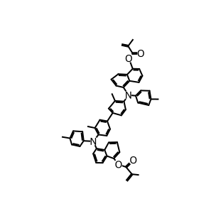 C=C(C)C(=O)Oc1cccc2c(N(c3ccc(C)cc3)c3ccc(-c4ccc(N(c5ccc(C)cc5)c5cccc6c(OC(=O)C(=C)C)cccc56)c(C)c4)cc3C)cccc12